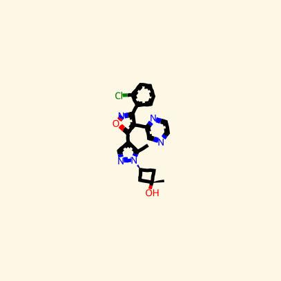 Cc1c(-c2onc(-c3ccccc3Cl)c2-c2cnccn2)cnn1[C@H]1C[C@@](C)(O)C1